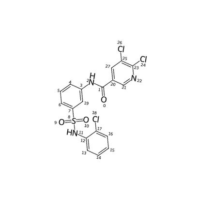 O=C(Nc1cccc(S(=O)(=O)Nc2ccccc2Cl)c1)c1cnc(Cl)c(Cl)c1